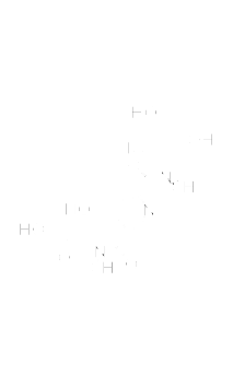 CN(C(=O)c1ccc(C(=O)N(C)C(CO)C(O)CO)nc1)C(CO)C(O)CO